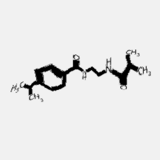 CC(C)C(=O)NCCNC(=O)c1ccc(C(C)C)cc1